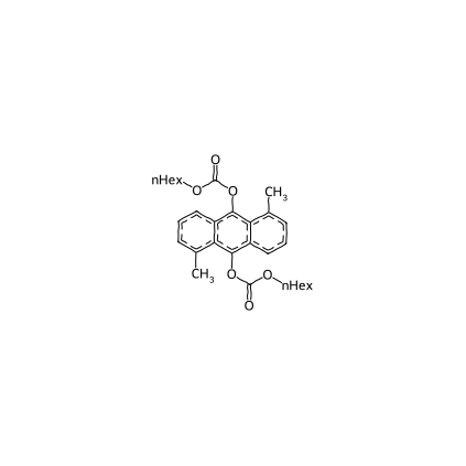 CCCCCCOC(=O)Oc1c2cccc(C)c2c(OC(=O)OCCCCCC)c2cccc(C)c12